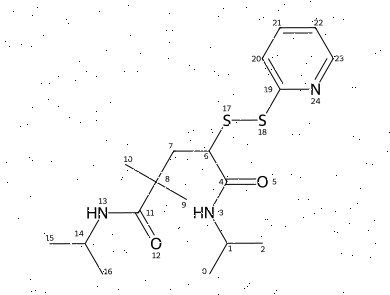 CC(C)NC(=O)C(CC(C)(C)C(=O)NC(C)C)SSc1ccccn1